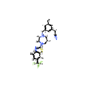 Cc1cc(CC#N)cc(CN2CCCN(c3nc4ccc(C(F)(F)F)cc4s3)CC2)c1